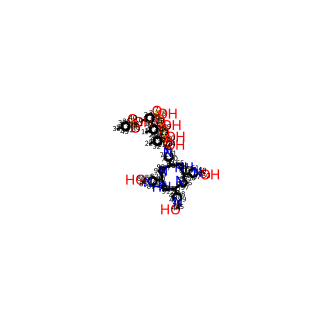 Cc1ccc(S(=O)(=O)O)cc1.Cc1ccc(S(=O)(=O)O)cc1.Cc1ccc(S(=O)(=O)O)cc1.Cc1ccc(S(=O)(=O)O)cc1.OCN1C=CC(c2c3nc(c(C4=CCN(CO)C=C4)c4ccc([nH]4)c(C4=CCN(CO)C=C4)c4nc(c(C5=CCN(CO)C=C5)c5ccc2[nH]5)C=C4)C=C3)=CC1